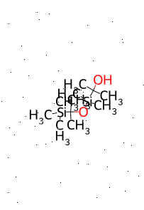 CC(C)(O[Si](C)(C)C(C)(C)O)[Si](C)(C)C